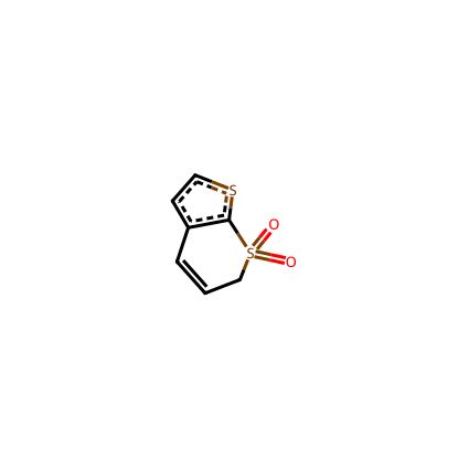 O=S1(=O)CC=Cc2ccsc21